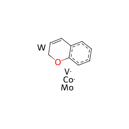 C1=Cc2ccccc2OC1.[Co].[Mo].[V].[W]